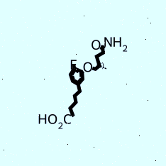 C[C@@H](CCC(N)=O)COc1cc(CCCCCC(=O)O)ccc1F